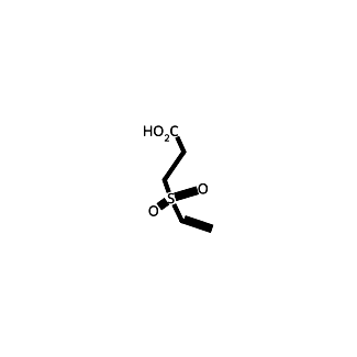 C=CS(=O)(=O)CCC(=O)O